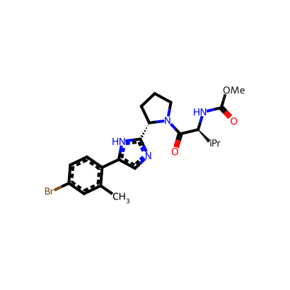 COC(=O)N[C@H](C(=O)N1CCC[C@H]1c1ncc(-c2ccc(Br)cc2C)[nH]1)C(C)C